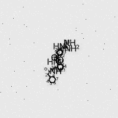 C[C@@H](CC1CCCCC1)NCc1ccccc1NS(=O)(=O)c1ccc(NC(=N)N)cc1